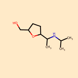 CC(C)NC(C)C1CCC(CO)O1